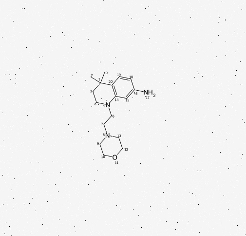 CC1(C)CCN(CCN2CCOCC2)c2cc(N)ccc21